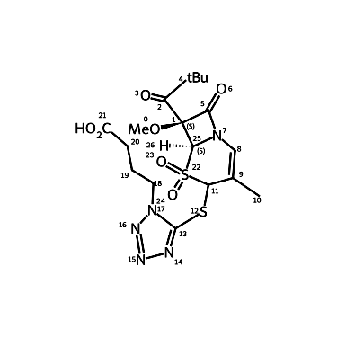 CO[C@@]1(C(=O)C(C)(C)C)C(=O)N2C=C(C)C(Sc3nnnn3CCCC(=O)O)S(=O)(=O)[C@H]21